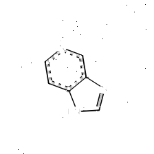 C1=[N+]c2cnccc2N1